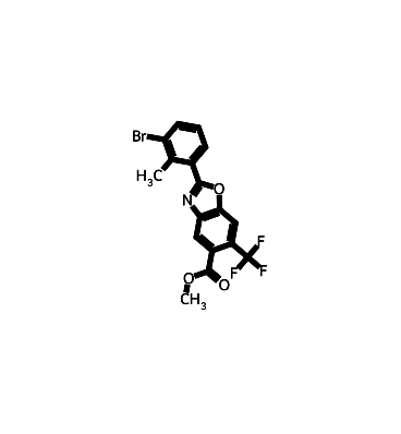 COC(=O)c1cc2nc(-c3cccc(Br)c3C)oc2cc1C(F)(F)F